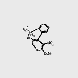 COc1ncc(Br)c(-c2ccccc2N(C)C)c1[N+](=O)[O-]